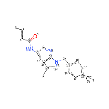 CC=CC(=O)Nc1cnc2c(c1)c(C)cn2Cc1ccc(C(F)(F)F)cc1